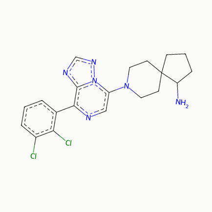 NC1CCCC12CCN(c1cnc(-c3cccc(Cl)c3Cl)c3ncnn13)CC2